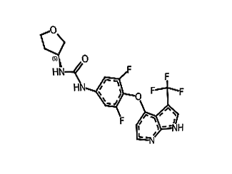 O=C(Nc1cc(F)c(Oc2ccnc3[nH]cc(C(F)(F)F)c23)c(F)c1)N[C@H]1CCOC1